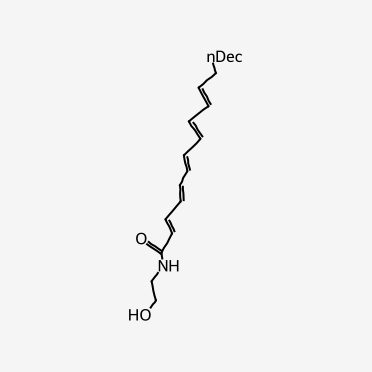 CCCCCCCCCCCC=CC=CC=CC=CC=CC(=O)NCCO